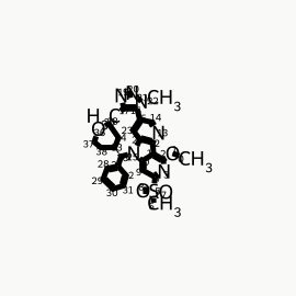 COc1nc(S(C)(=O)=O)cc2c1c1ncc(-c3c(C)nnn3C)cc1n2[C@H](c1ccccc1)C1CCOCC1